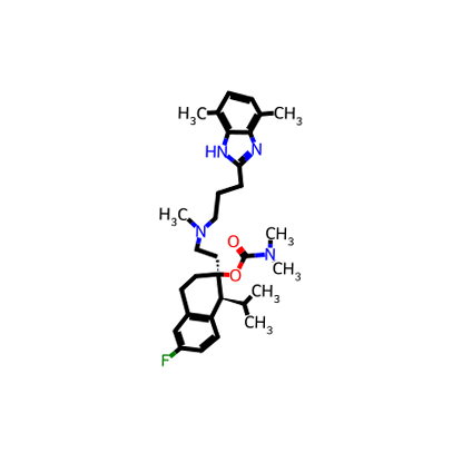 Cc1ccc(C)c2[nH]c(CCCN(C)CC[C@@]3(OC(=O)N(C)C)CCc4cc(F)ccc4[C@@H]3C(C)C)nc12